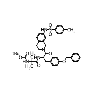 Cc1ccc(S(=O)(=O)Nc2ccc3c(c2)CN(C(=O)[C@@H](Cc2ccc(OCc4ccccc4)cc2)NC(=O)C(C)(C)NC(=O)OC(C)(C)C)CC3)cc1